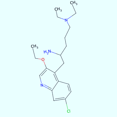 CCOc1cnc2cc(Cl)ccc2c1CC(N)CCCN(CC)CC